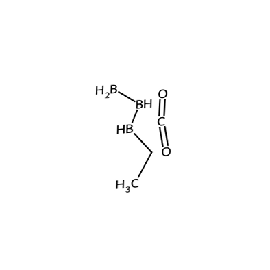 BBBCC.O=C=O